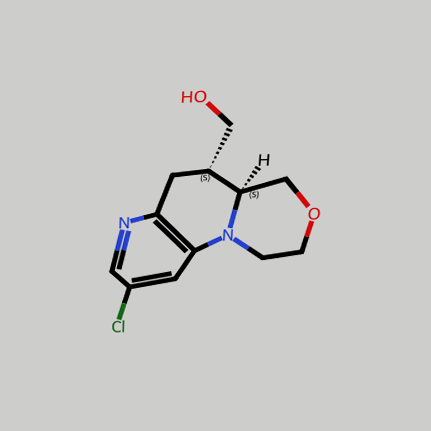 OC[C@H]1Cc2ncc(Cl)cc2N2CCOC[C@H]12